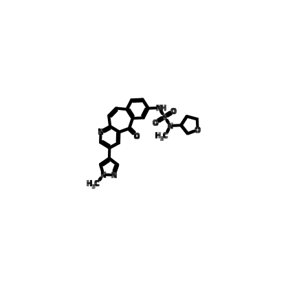 CN(C1CCOC1)S(=O)(=O)Nc1ccc2ccc3ncc(-c4cnn(C)c4)cc3c(=O)c2c1